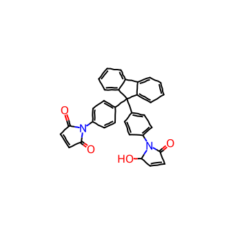 O=C1C=CC(=O)N1c1ccc(C2(c3ccc(N4C(=O)C=CC4O)cc3)c3ccccc3-c3ccccc32)cc1